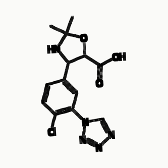 CC1(C)NC(c2ccc(Cl)c(-n3cnnn3)c2)C(C(=O)O)O1